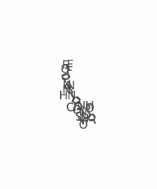 COCc1ccc(C)cc1N1C(=O)CS/C1=N\C(=O)Nc1ccc(NCc2ncn(-c3ccc(OC(F)(F)F)cc3)n2)cc1Cl